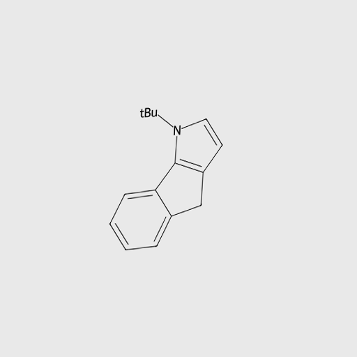 CC(C)(C)n1ccc2c1-c1ccccc1C2